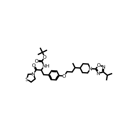 CC(C)c1noc(N2CCC(C(C)CCOc3ccc(CC(NC(=O)OC(C)(C)C)C(=O)N4CCSC4)cc3)CC2)n1